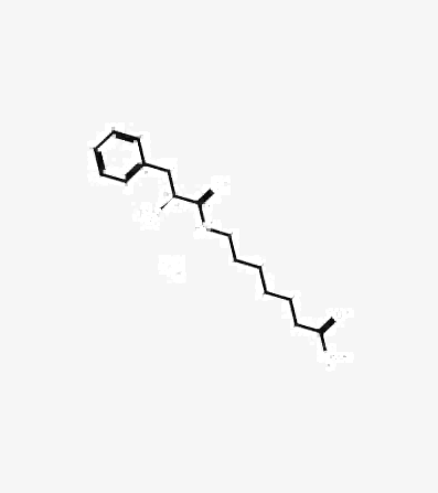 COC(=O)CCCCCCNC(=O)[C@@H](N)Cc1ccccc1.Cl